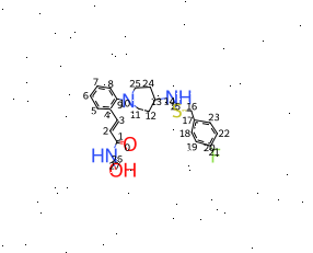 O=C(/C=C/c1ccccc1N1CCC(NSCc2ccc(F)cc2)CC1)NO